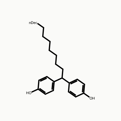 CCCCCCCCCCCCCCCCCC(c1ccc(O)cc1)c1ccc(O)cc1